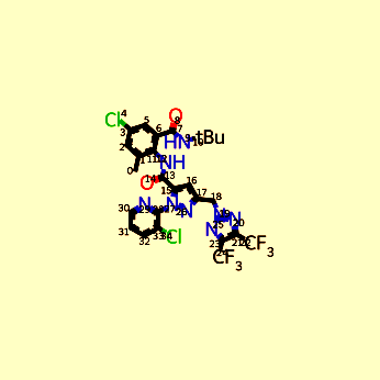 Cc1cc(Cl)cc(C(=O)NC(C)(C)C)c1NC(=O)c1cc(Cn2nc(C(F)(F)F)c(C(F)(F)F)n2)nn1-c1ncccc1Cl